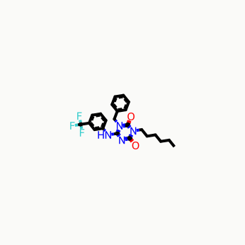 CCCCCCn1c(=O)nc(Nc2cccc(C(F)(F)F)c2)n(Cc2ccccc2)c1=O